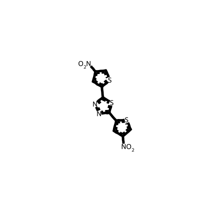 O=[N+]([O-])c1csc(-c2nnc(-c3cc([N+](=O)[O-])cs3)s2)c1